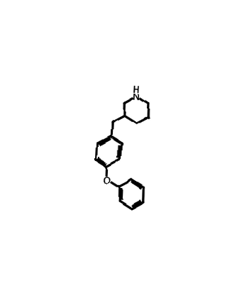 c1ccc(Oc2ccc(CC3CCCNC3)cc2)cc1